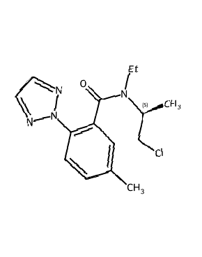 CCN(C(=O)c1cc(C)ccc1-n1nccn1)[C@@H](C)CCl